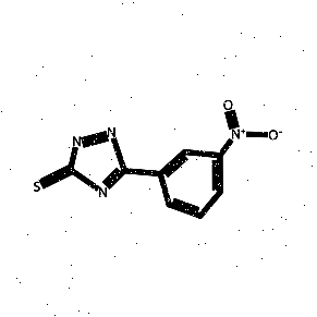 O=[N+]([O-])c1cccc(C2=NC(=S)N=N2)c1